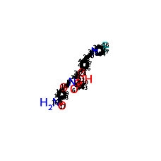 CC(C)(C)OC(=O)N(CCOc1ccc(C(N)=O)cc1)C[C@H](O)COc1ccc(CCCN2CCC(F)(F)CC2)cc1